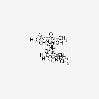 C=C(O)CNC(=O)[C@@H]1CC2(CN1C(=O)CNC(=O)[C@@H](NC(=C)[C@H]1CCCCN1C(C)C)C(C)(C)C)C(C)(C)C21CCC1